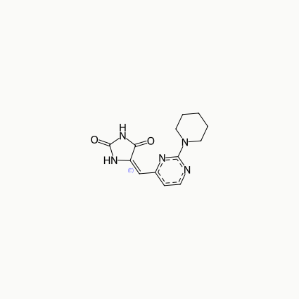 O=C1NC(=O)/C(=C\c2ccnc(N3CCCCC3)n2)N1